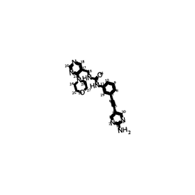 Nc1ncc(C#Cc2cccc(NC(=O)NCc3cncnc3N3CCOCC3)c2)cn1